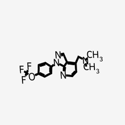 CN(C)Cc1ccnc2c1cnn2-c1ccc(OC(F)(F)F)cc1